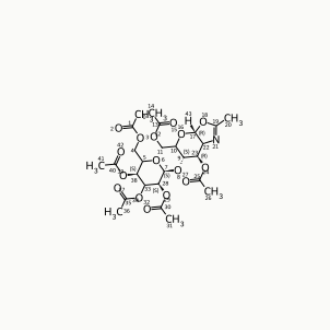 CC(=O)OCC1O[C@@H](O[C@@H]2C(COC(C)=O)O[C@@H]3OC(C)=NC3[C@H]2OC(C)=O)[C@@H](OC(C)=O)C(OC(C)=O)[C@H]1OC(C)=O